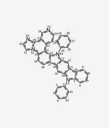 c1ccc(-n2c3ccccc3c3cc4c(cc32)c2ccc3c(c5ccncc5c5nccn35)c2n4-c2ccccc2)cc1